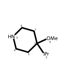 COC1(C(C)C)CCNCC1